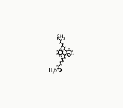 CCCCCCCCC1CCCOC1C(CCCCCCC(N)=O)c1ccccc1